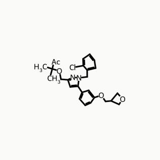 CC(=O)C(C)(C)OCc1cc(-c2cccc(OCC3COC3)c2)n(Cc2ccccc2Cl)n1